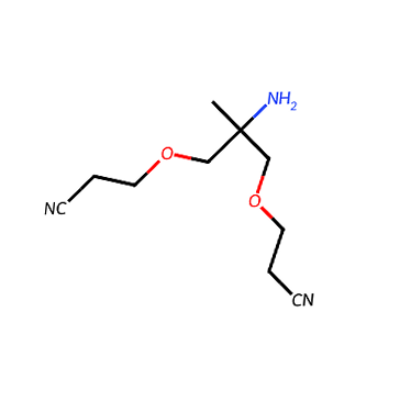 CC(N)(COCCC#N)COCCC#N